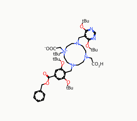 CC(C)(C)Oc1cc(C(=O)OCc2ccccc2)cc(OC(C)(C)C)c1CN1CCN(CC(=O)O)CCN(Cc2c(OC(C)(C)C)ncnc2OC(C)(C)C)CC[N+](CC(=O)[O-])(C(C)(C)C)CC1